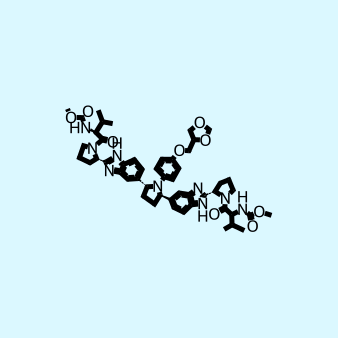 COC(=O)NC(C(=O)N1CCC[C@H]1c1nc2cc([C@H]3CC[C@H](c4ccc5[nH]c([C@@H]6CCCN6C(=O)[C@@H](NC(=O)OC)C(C)C)nc5c4)N3c3ccc(OCC4COCO4)cc3)ccc2[nH]1)C(C)C